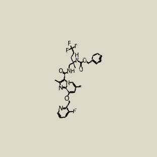 Cc1cc(OCc2ncccc2F)c2nc(C)c(C(=O)NCC(C)(CCC(F)(F)F)NC(=O)OCc3ccccc3)n2c1